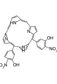 O=[N+]([O-])c1ccc(-c2c3nc(cc4ccc(cc5nc(c(-c6ccc([N+](=O)[O-])c(O)c6)c6ccc2[nH]6)C=C5)[nH]4)C=C3)cc1O